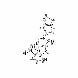 CCN(C)C1=C2c3ncn(-c4ccc5c(c4)OCC5)c(=O)c3SC2NC=N1